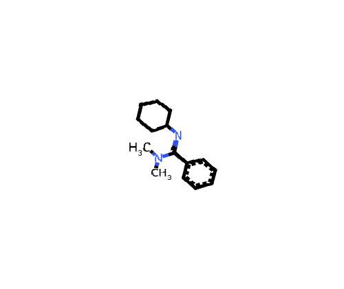 CN(C)C(=NC1CCCCC1)c1ccccc1